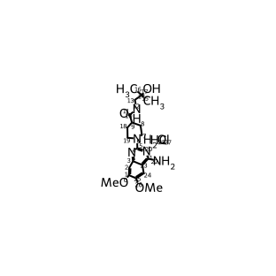 COc1cc2nc(N3CCC(C(=O)NCC(C)(C)O)CC3)nc(N)c2cc1OC.Cl.O